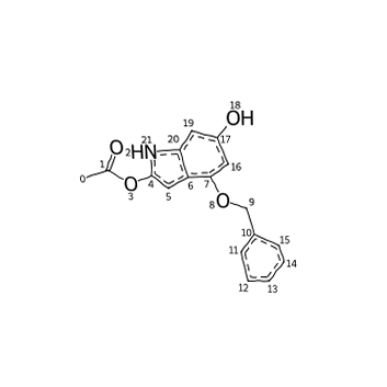 CC(=O)Oc1cc2c(OCc3ccccc3)cc(O)cc2[nH]1